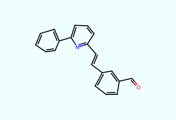 O=Cc1cccc(C=Cc2cccc(-c3ccccc3)n2)c1